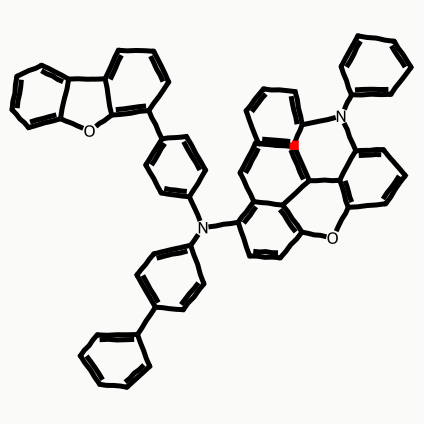 c1ccc(-c2ccc(N(c3ccc(-c4cccc5c4oc4ccccc45)cc3)c3ccc4c5c(cccc35)-c3c(cccc3N(c3ccccc3)c3ccccc3)O4)cc2)cc1